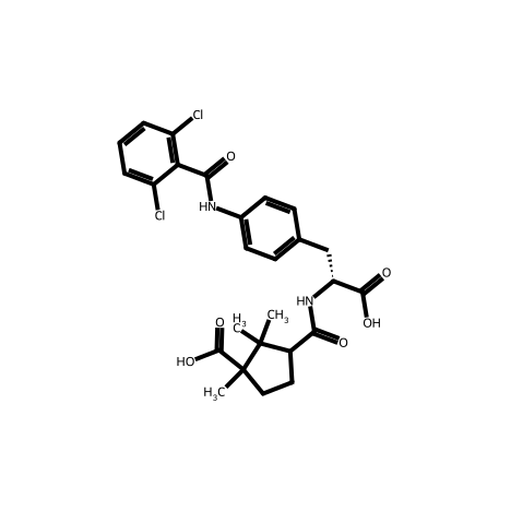 CC1(C(=O)O)CCC(C(=O)N[C@H](Cc2ccc(NC(=O)c3c(Cl)cccc3Cl)cc2)C(=O)O)C1(C)C